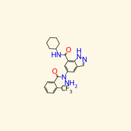 NN(C(=O)c1ccccc1C(F)(F)F)c1cc(C(=O)NC2CCCCC2)c2[nH]ncc2c1